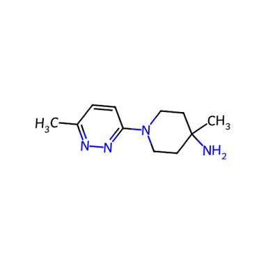 Cc1ccc(N2CCC(C)(N)CC2)nn1